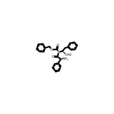 N[C@H](C(=O)N(C(=O)OCc1ccccc1)[C@H](C=O)Cc1ccccc1)c1ccccc1